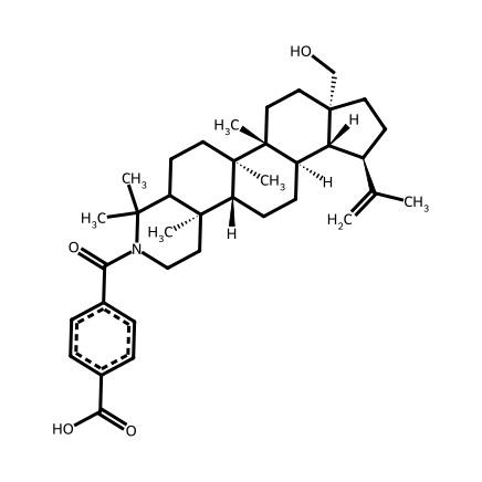 C=C(C)[C@@H]1CC[C@]2(CO)CC[C@]3(C)[C@H](CC[C@@H]4[C@@]5(C)CCN(C(=O)c6ccc(C(=O)O)cc6)C(C)(C)C5CC[C@]43C)[C@@H]12